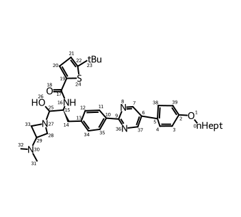 CCCCCCCOc1ccc(-c2cnc(-c3ccc(C[C@H](NC(=O)c4ccc(C(C)(C)C)s4)C(O)N4CC(N(C)C)C4)cc3)nc2)cc1